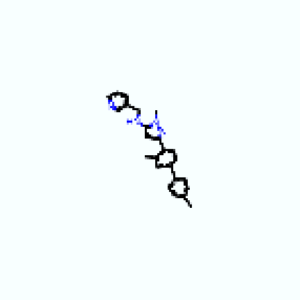 Cc1ccc(-c2ccc(-c3cc(NCc4cccnc4)n(C)n3)c(C)c2)cc1